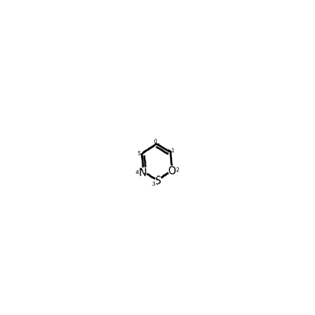 [C]1=COSN=C1